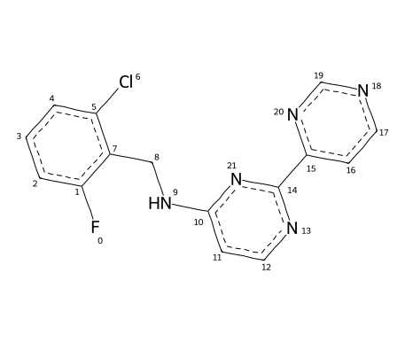 Fc1cccc(Cl)c1CNc1ccnc(-c2ccncn2)n1